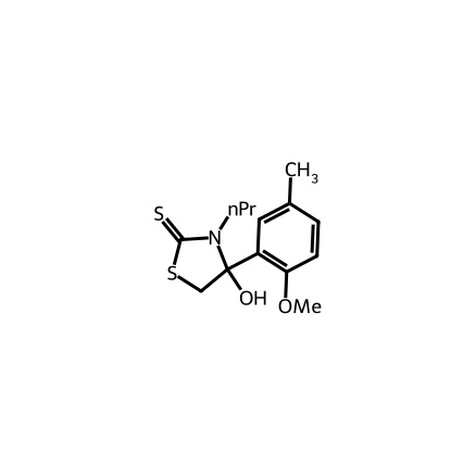 CCCN1C(=S)SCC1(O)c1cc(C)ccc1OC